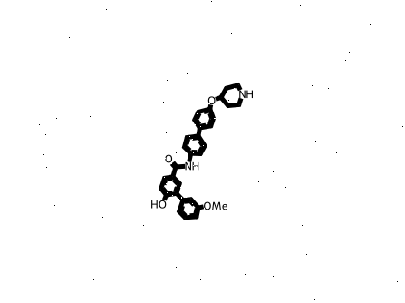 COc1cccc(-c2cc(C(=O)Nc3ccc(-c4ccc(OC5CCNCC5)cc4)cc3)ccc2O)c1